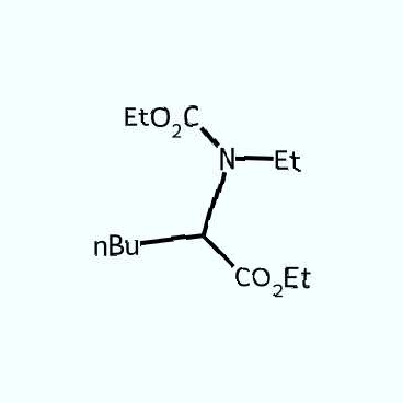 CCCCC(C(=O)OCC)N(CC)C(=O)OCC